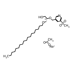 CCCCCCCCCCCCCCCCCCOC[C@H](CO)OCc1cncc(S(C)(=O)=O)c1.CS(=O)[O-].[Na+]